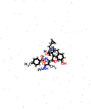 C/C(C(=O)NC(C)C)=C(/NS(=O)(=O)c1ccc(C)cc1)[C@@H]1Oc2c(O)ccc3c2[C@@]12CCN(CC1CC1)[C@H](C3)[C@@]2(C)O